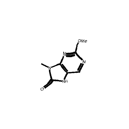 COc1ncc2[nH]c(=O)n(C)c2n1